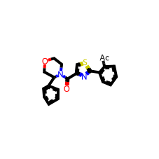 CC(=O)c1ccccc1-c1nc(C(=O)N2CCOCC2c2ccccc2)cs1